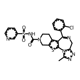 Cc1nnc2n1-c1sc3c(c1C(c1ccccc1Cl)=NC2)CCN(C(=O)NS(=O)(=O)c1cccnc1)C3